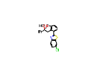 CC(C)C(O)Cc1c(C(=O)O)cccc1-c1nc2ccc(Cl)cc2s1